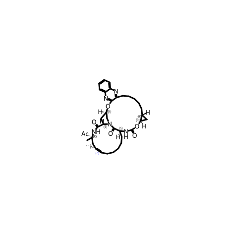 CC(=O)[C@]1(C)NC(=O)[C@@H]2C[C@@H]3CN2C(=O)[C@H](CCCCC/C=C\[C@@H]1C)NC(=O)O[C@@H]1C[C@H]1CCCCCc1nc2ccccc2nc1O3